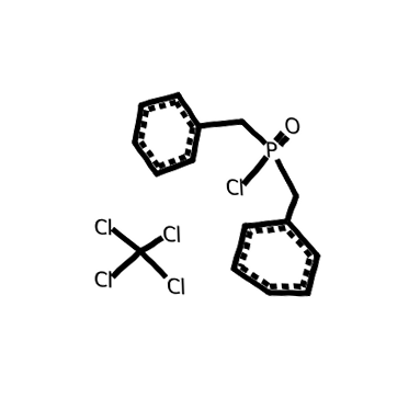 ClC(Cl)(Cl)Cl.O=P(Cl)(Cc1ccccc1)Cc1ccccc1